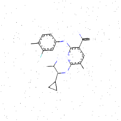 C=C(N)c1cc(C)c(NC(C(C)N)C2CC2)nc1Nc1ccc(C)c(F)c1